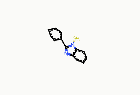 Sn1c(-c2ccccc2)nc2ccccc21